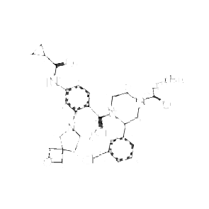 C=C(c1ccc(NC(=O)C2CC2)cc1N1CCC2(COC2)C1)N1CCN(C(=O)OC(C)(C)C)CC1c1cccc(Cl)c1